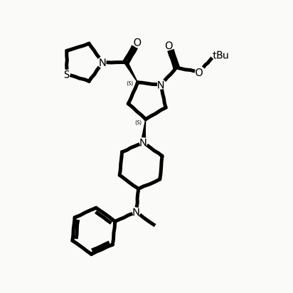 CN(c1ccccc1)C1CCN([C@H]2C[C@@H](C(=O)N3CCSC3)N(C(=O)OC(C)(C)C)C2)CC1